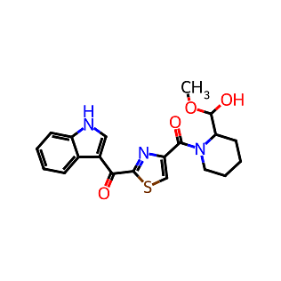 COC(O)C1CCCCN1C(=O)c1csc(C(=O)c2c[nH]c3ccccc23)n1